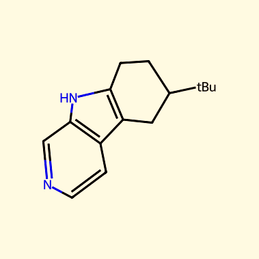 CC(C)(C)C1CCc2[nH]c3cnccc3c2C1